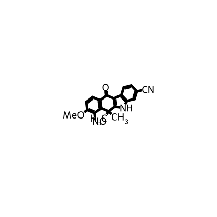 COc1ccc2c(c1N=O)C(C)(C)c1[nH]c3cc(C#N)ccc3c1C2=O